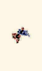 COC[C@H]1O[C@@H](n2cnc3c(=O)[nH]c(N)nc32)[C@@H](O)C1OC